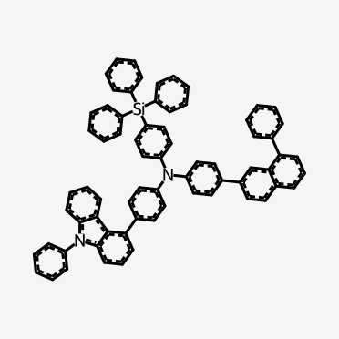 c1ccc(-c2cccc3ccc(-c4ccc(N(c5ccc(-c6cccc7c6c6ccccc6n7-c6ccccc6)cc5)c5ccc([Si](c6ccccc6)(c6ccccc6)c6ccccc6)cc5)cc4)cc23)cc1